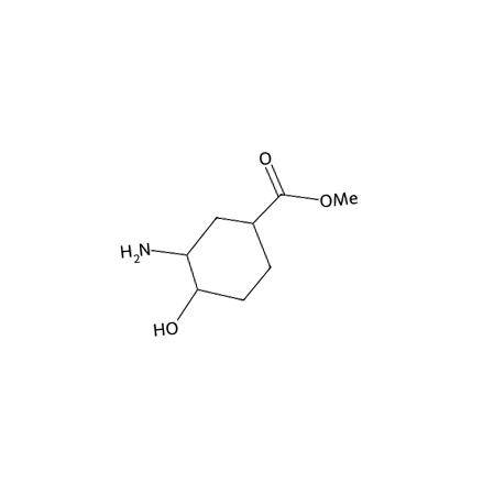 COC(=O)C1CCC(O)C(N)C1